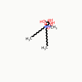 CCCCCCCCCCCCCC(=O)N(CCCCCCCCCCCC)[C@@H]1O[C@H](CO)[C@@H](O)[C@H](O)[C@@H]1NC(C)=O